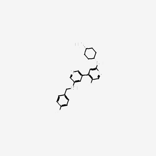 N[C@H]1CC[C@H](Nc2cc(-c3cncc(NCc4ccc(F)cc4)c3)c(Cl)cn2)CC1